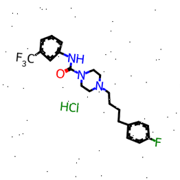 Cl.O=C(Nc1cccc(C(F)(F)F)c1)N1CCN(CCCCc2ccc(F)cc2)CC1